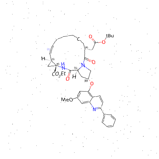 CCOC(=O)[C@@]12C[C@H]1/C=C\CCCCC[C@H](CC(=O)OC(C)(C)C)C(=O)N1C[C@H](Oc3cc(OC)cc4nc(-c5ccccc5)ccc34)C[C@H]1C(=O)N2